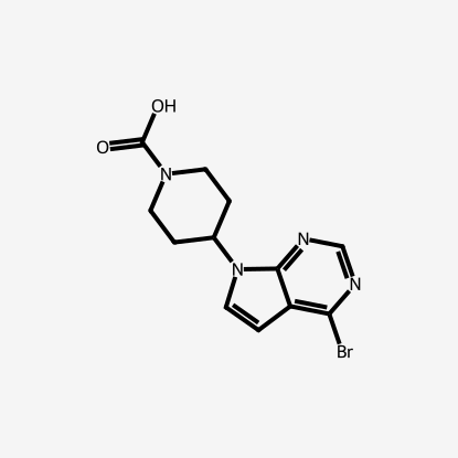 O=C(O)N1CCC(n2ccc3c(Br)ncnc32)CC1